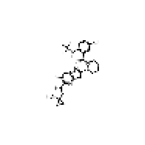 Cc1cn2nc([C@@H]3CCCCN3C(=O)c3cc(Cl)ccc3NS(C)(=O)=O)cc2nc1NCC1(N)CC1